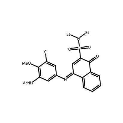 CCN(CC)S(=O)(=O)C1=CC(=Nc2cc(Cl)c(OC)c(NC(C)=O)c2)c2ccccc2C1=O